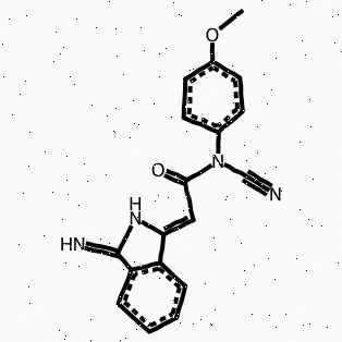 COc1ccc(N(C#N)C(=O)C=C2NC(=N)c3ccccc32)cc1